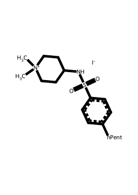 CCCCCc1ccc(S(=O)(=O)NC2CC[N+](C)(C)CC2)cc1.[I-]